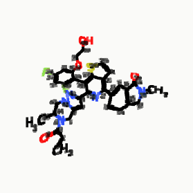 C=CC(=O)N1Cc2cc(-c3nc(-c4ccc5c(c4)C(=O)N(C)C5)c4ccsc4c3-c3c(F)cc(F)cc3OCCO)nn2CC1C